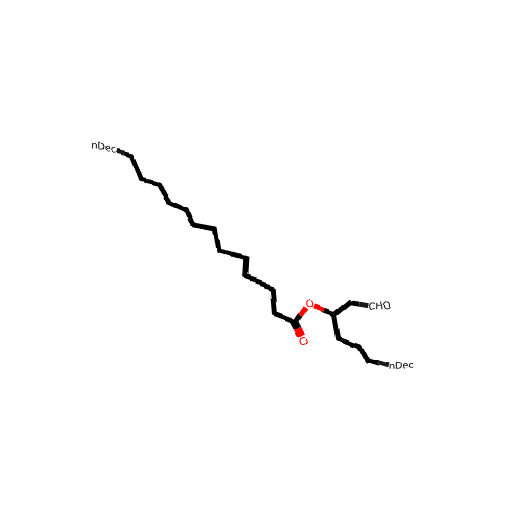 CCCCCCCCCCCCCCCCCCCCCCC(=O)OC(CC=O)CCCCCCCCCCCCC